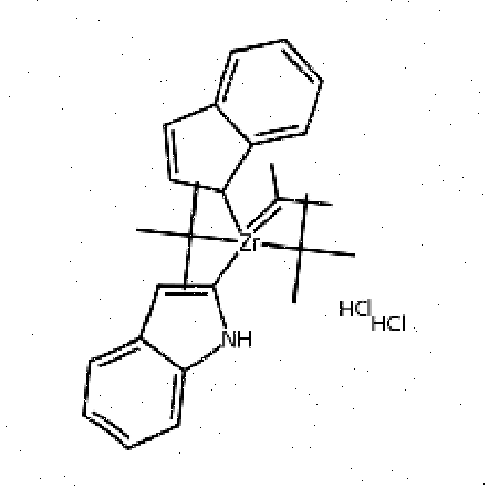 C[C](C)=[Zr]([c]1cc2ccccc2[nH]1)([CH]1C=Cc2ccccc21)([C](C)(C)C)[C](C)(C)C.Cl.Cl